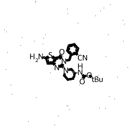 CC(C)(C)OC(=O)N[C@@H]1CCCN(c2nc3cc(N)sc3c(=O)n2Cc2ccccc2C#N)C1